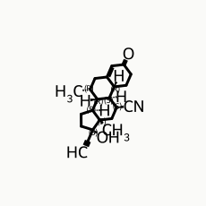 C#C[C@]1(O)CC[C@H]2[C@H]3[C@H]([C@@H](C#N)C[C@@]21C)[C@H]1CCC(=O)C=C1C[C@H]3C